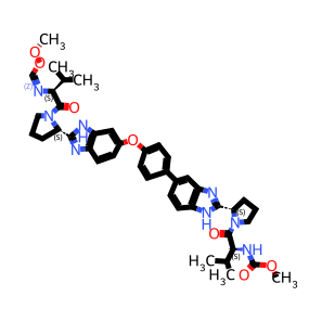 COO/C=N\[C@H](C(=O)N1CCC[C@H]1c1nc2ccc(Oc3ccc(-c4ccc5[nH]c([C@@H]6CCCN6C(=O)[C@@H](NC(=O)OC)C(C)C)nc5c4)cc3)cc2[nH]1)C(C)C